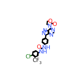 O=C(Nc1ccc(C2N=Nc3c2ncnc3N2CCOC2=O)cc1)Nc1ccc(Cl)c(C(F)(F)F)c1